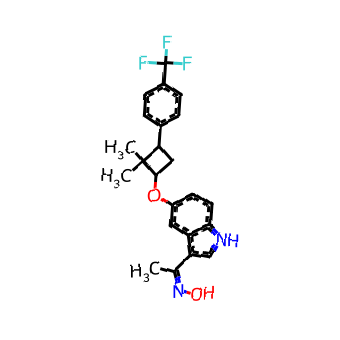 C/C(=N/O)c1c[nH]c2ccc(OC3CC(c4ccc(C(F)(F)F)cc4)C3(C)C)cc12